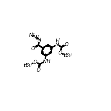 CC(C)(C)OC(=O)Nc1cc(NC(=O)OC(C)(C)C)cc(C(=O)N=[N+]=[N-])c1